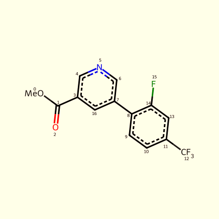 COC(=O)c1cncc(-c2ccc(C(F)(F)F)cc2F)c1